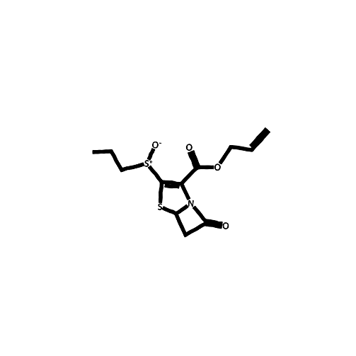 C=CCOC(=O)C1=C([S+]([O-])CCC)SC2CC(=O)N12